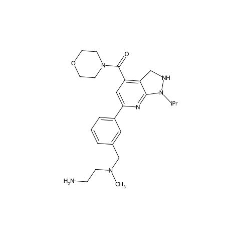 CC(C)N1NCc2c(C(=O)N3CCOCC3)cc(-c3cccc(CN(C)CCN)c3)nc21